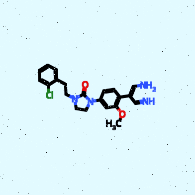 COc1cc(N2CCN(CCc3ccccc3Cl)C2=O)ccc1/C(C=N)=C/N